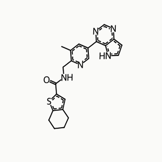 Cc1cc(-c2ncnc3cc[nH]c23)cnc1CNC(=O)c1cc2c(s1)CCCC2